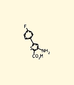 Nc1cc(-c2ccc(F)cc2)sc1C(=O)O